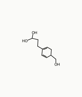 OCC1C=CC(CCC(O)O)=CC1